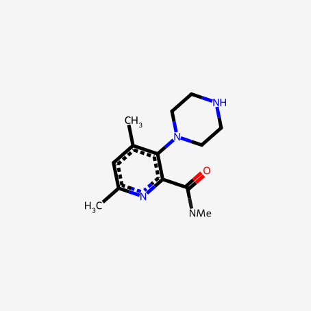 CNC(=O)c1nc(C)cc(C)c1N1CCNCC1